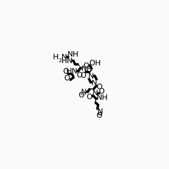 N=C(N)NCCC[C@H](NC(=O)[C@@H](CC(=O)O)N1CCN(C(=O)[C@H](CCN=O)N2C(=O)N[C@@H](CCCN=O)C2=O)CC1)C(=O)NC1CCOC1=O